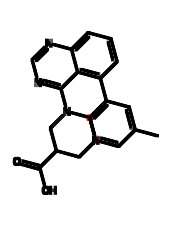 Cc1cncc(-c2cccc3ncnc(N4CCCC(C(=O)O)C4)c23)c1